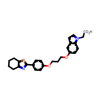 O=C(O)Cn1ccc2cc(OCCCOc3ccc(-c4nc5c(s4)CCCC5)cc3)ccc21